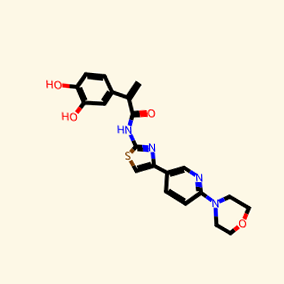 C=C(C(=O)Nc1nc(-c2ccc(N3CCOCC3)nc2)cs1)c1ccc(O)c(O)c1